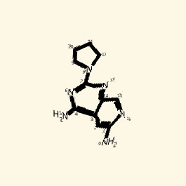 Nc1cc2c(N)nc(N3CCCC3)nc2cn1